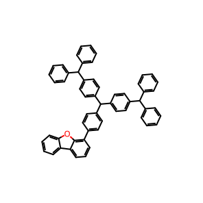 c1ccc(C(c2ccccc2)c2ccc(C(c3ccc(-c4cccc5c4oc4ccccc45)cc3)c3ccc(C(c4ccccc4)c4ccccc4)cc3)cc2)cc1